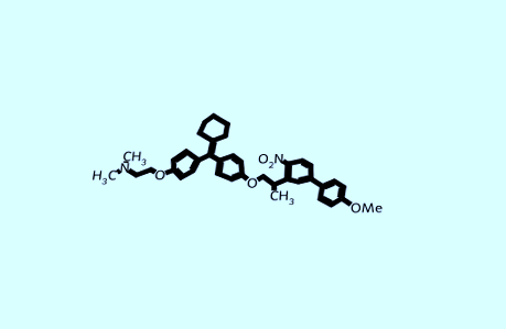 COc1ccc(-c2ccc([N+](=O)[O-])c(C(C)COc3ccc(C(=C4CCCCC4)c4ccc(OCCN(C)C)cc4)cc3)c2)cc1